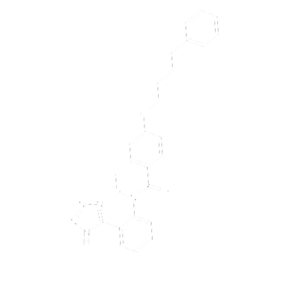 CON(C(=O)c1ccc(OCCCCc2ccccc2)cc1)c1ccccc1-c1nnn[nH]1